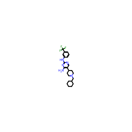 Nc1nc(Nc2cccc(C(F)(F)F)c2)ncc1C1CCN(CC2CCCCC2)CC1